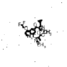 Cc1nn(C)cc1C(=O)Oc1c(C(=O)c2ccc3nccc(OCC(F)F)c3c2)c(C2CC2)nn1C